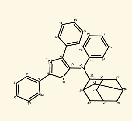 c1ccc(-c2nc(-c3ccccc3)c(N(c3ccccc3)C3C4CC5CC(C4)CC3C5)s2)cc1